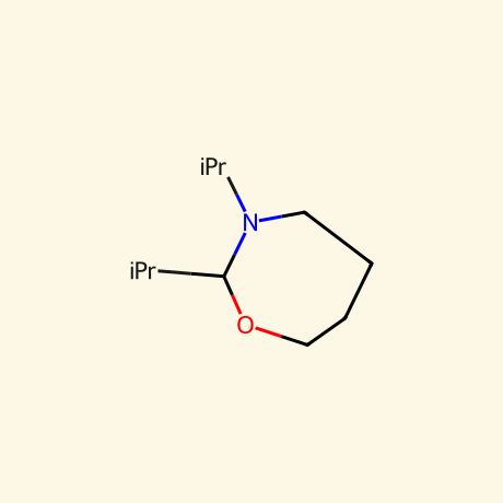 CC(C)C1OCCCCN1C(C)C